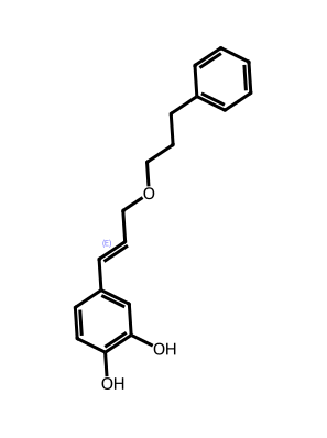 Oc1ccc(/C=C/COCCCc2ccccc2)cc1O